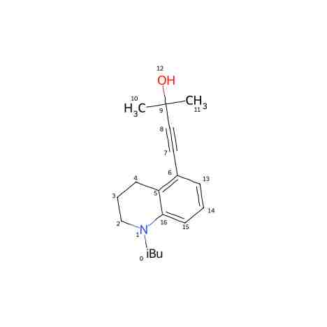 CCC(C)N1CCCc2c(C#CC(C)(C)O)cccc21